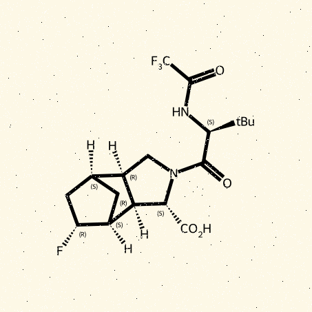 CC(C)(C)[C@H](NC(=O)C(F)(F)F)C(=O)N1C[C@@H]2[C@H]3C[C@@H]([C@@H]2[C@H]1C(=O)O)[C@H](F)C3